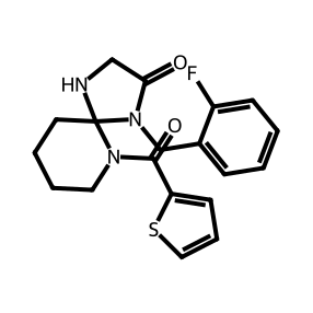 O=C1CNC2(CCCCN2C(=O)c2cccs2)N1Cc1ccccc1F